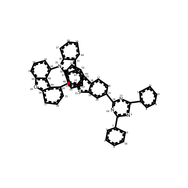 c1ccc(-c2nc(-c3ccccc3)nc(-c3ccc4c(c3)sc3c(-c5cccc6oc7cccc(-n8c9ccccc9c9ccccc98)c7c56)cccc34)n2)cc1